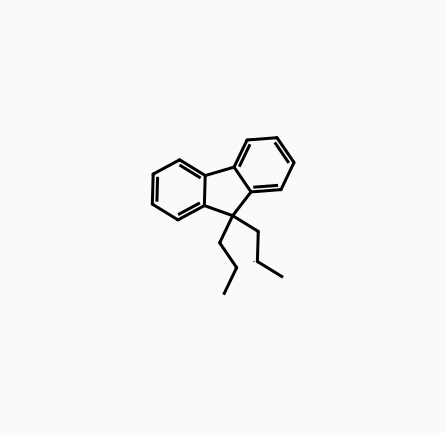 C[CH]CC1(CCC)c2ccccc2-c2ccccc21